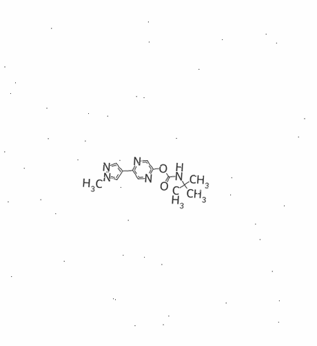 Cn1cc(-c2cnc(OC(=O)NC(C)(C)C)cn2)cn1